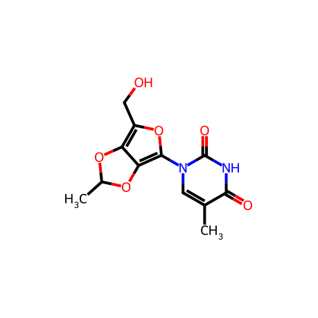 Cc1cn(-c2oc(CO)c3c2OC(C)O3)c(=O)[nH]c1=O